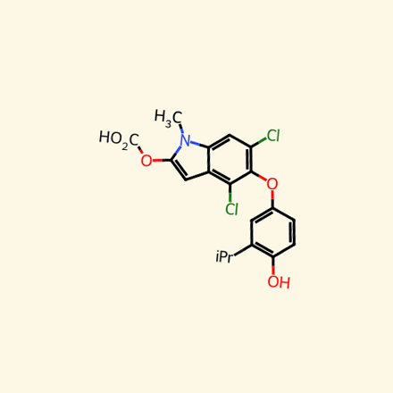 CC(C)c1cc(Oc2c(Cl)cc3c(cc(OC(=O)O)n3C)c2Cl)ccc1O